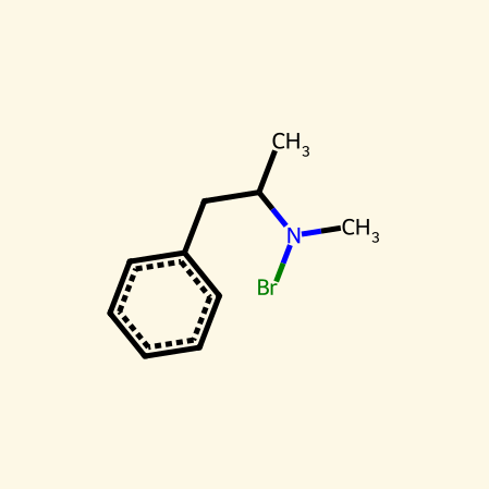 CC(Cc1ccccc1)N(C)Br